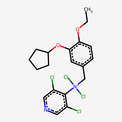 CCOc1ccc(C[N+](Cl)(Cl)c2c(Cl)cncc2Cl)cc1OC1CCCC1